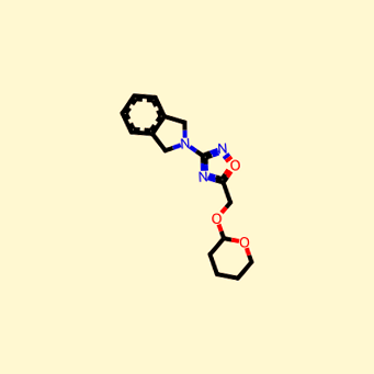 c1ccc2c(c1)CN(c1noc(COC3CCCCO3)n1)C2